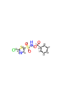 O=C(ONS(=O)(=O)c1cnc(Cl)s1)c1ccccc1